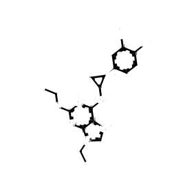 CCSc1nc(NC2C[C@H]2c2ccc(F)c(F)c2)c2ncn(CC)c2n1